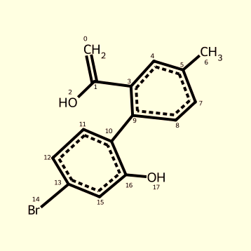 C=C(O)c1cc(C)ccc1-c1ccc(Br)cc1O